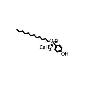 CCCCCCCCCCCCOS(=O)(=O)c1ccc(O)cc1.[CaH2]